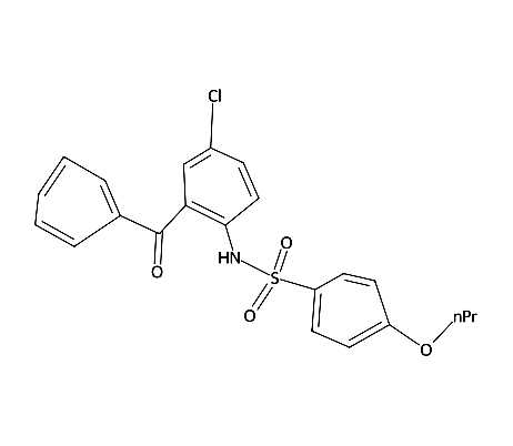 CCCOc1ccc(S(=O)(=O)Nc2ccc(Cl)cc2C(=O)c2ccccc2)cc1